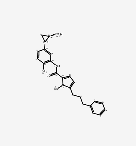 CCC(C)n1c(CCCc2ccccc2)ccc1C(=O)Nc1cc([C@H]2C[C@H]2C(=O)O)ccc1C(F)(F)F